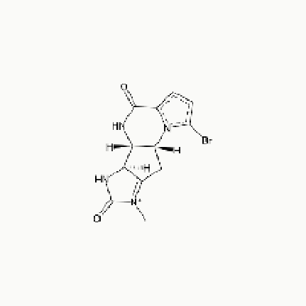 C[N+]1=C2C[C@@H]3[C@@H](NC(=O)c4ccc(Br)n43)[C@@H]2NC1=O